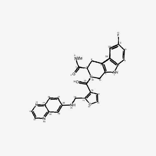 CNC(=O)[C@H]1Cc2c([nH]c3ccc(F)cc23)CN1C(=O)c1ccoc1CNc1ccc2nccnc2c1